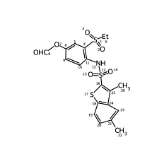 CCS(=O)(=O)c1cc(OC=O)ccc1NS(=O)(=O)c1sc2ccc(C)cc2c1C